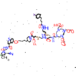 CC1(F)C[C@H](C#N)N(C(=O)CNC(=O)c2ccnc3ccc(OCCCCC4CCN(C(=O)[C@H](O)CSCCNC(=O)[C@H](CSCCNC(=O)CCCc5ccc(I)cc5)NC(=O)CN5CCN(COC=O)CCN(COC=O)CCN(CC(=O)O)CC5)CC4)cc23)C1